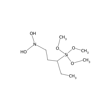 CCC(CCN(O)O)[Si](OC)(OC)OC